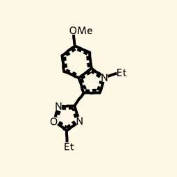 CCc1nc(-c2cn(CC)c3cc(OC)ccc23)no1